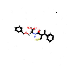 CC(c1ccccc1)C(CS)C(=O)N[C@@H](COCc1ccccc1)C(=O)O